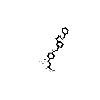 C[C@@H](CC(=O)O)c1ccc(OCc2ccc3c(cnn3CC3CCCCC3)c2)cc1